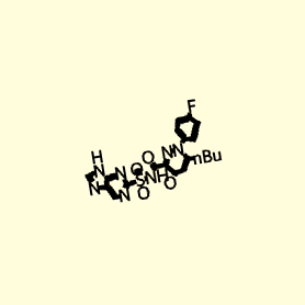 CCCCc1cc(=O)c(C(=O)NS(=O)(=O)c2ncc3nc[nH]c3n2)nn1-c1ccc(F)cc1